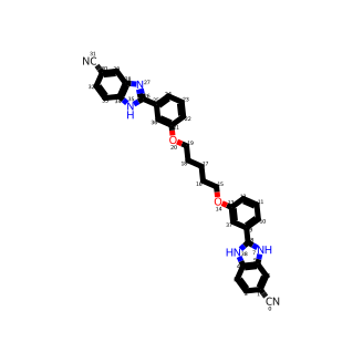 N#Cc1ccc2c(c1)NC(c1cccc(OCCCCCOc3cccc(-c4nc5cc(C#N)ccc5[nH]4)c3)c1)N2